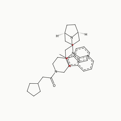 Cc1nc2ccccc2n1C1C[C@H]2CC[C@@H](C1)N2CCC1(c2ccccc2)CCN(C(=O)CC2CCCC2)CC1